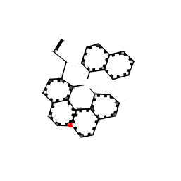 C=CCc1ccc2ccccc2c1P(c1cccc2ccccc12)c1cccc2ccccc12